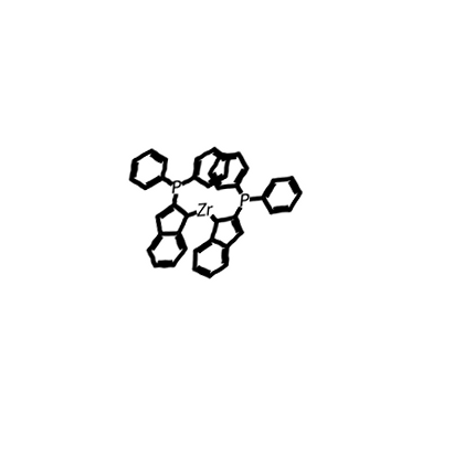 C1=C(P(c2ccccc2)c2ccccc2)[CH]([Zr][CH]2C(P(c3ccccc3)c3ccccc3)=Cc3ccccc32)c2ccccc21